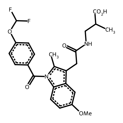 COc1ccc2c(c1)c(CC(=O)NCC(C)C(=O)O)c(C)n2C(=O)c1ccc(OC(F)F)cc1